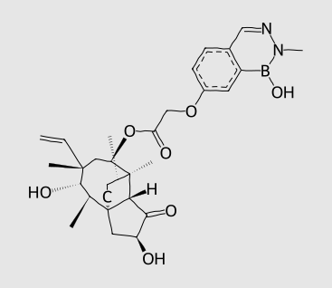 C=C[C@]1(C)C[C@@H](OC(=O)COc2ccc3c(c2)B(O)N(C)N=C3)[C@]2(C)[C@H](C)CC[C@]3(C[C@H](O)C(=O)[C@H]32)[C@@H](C)[C@@H]1O